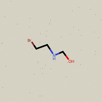 OCNCCBr